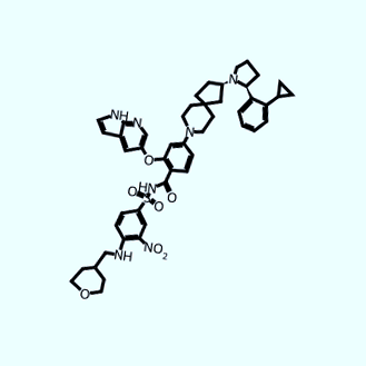 O=C(NS(=O)(=O)c1ccc(NCC2CCOCC2)c([N+](=O)[O-])c1)c1ccc(N2CCC3(CC[C@H](N4CCC[C@H]4c4ccccc4C4CC4)C3)CC2)cc1Oc1cnc2[nH]ccc2c1